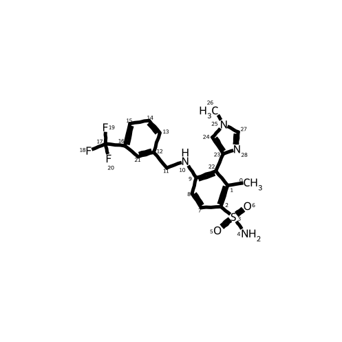 Cc1c(S(N)(=O)=O)ccc(NCc2cccc(C(F)(F)F)c2)c1-c1cn(C)cn1